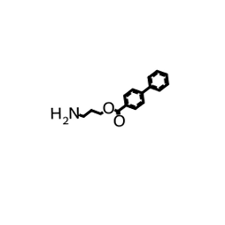 NCCCOC(=O)c1ccc(-c2ccccc2)cc1